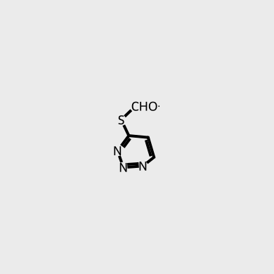 O=[C]Sc1ccnnn1